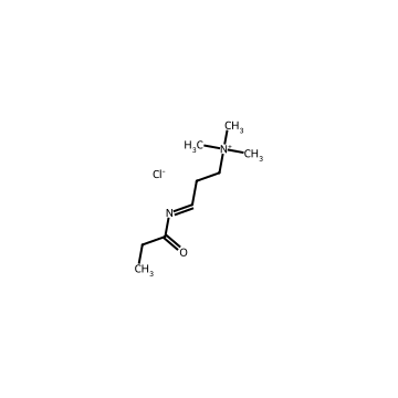 CCC(=O)N=CCC[N+](C)(C)C.[Cl-]